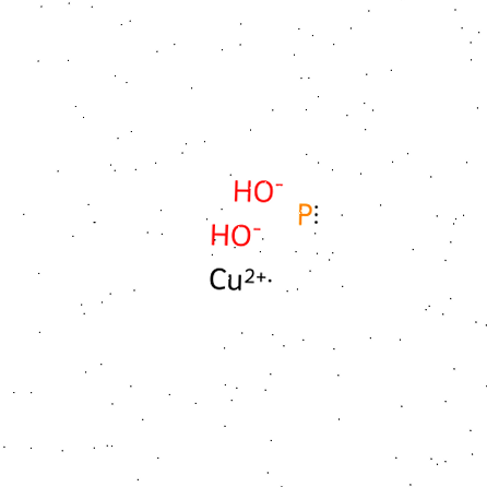 [Cu+2].[OH-].[OH-].[P]